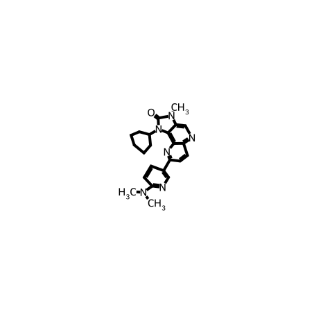 CN(C)c1ccc(-c2ccc3ncc4c(c3n2)n(C2CCCCC2)c(=O)n4C)cn1